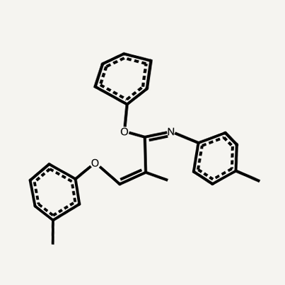 CC(=COc1cccc(C)c1)C(=Nc1ccc(C)cc1)Oc1ccccc1